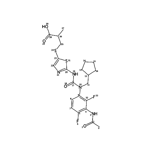 CC(=O)Nc1c(F)ccc(N(CC2CCCC2)C(=O)Nc2ncc(SCC(C)C(=O)O)s2)c1F